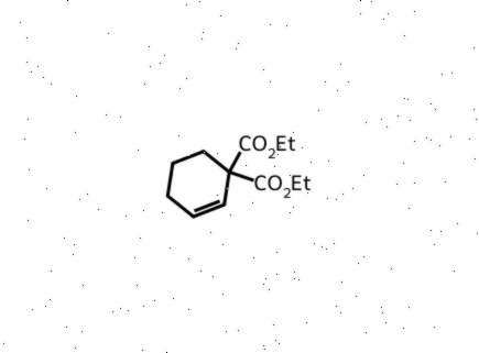 CCOC(=O)C1(C(=O)OCC)C=CCCC1